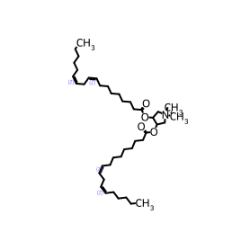 CCCCC/C=C\C/C=C\CCCCCCCC(=O)OC1C[N+](C)(C)CC1OC(=O)CCCCCCC/C=C\C/C=C\CCCCC